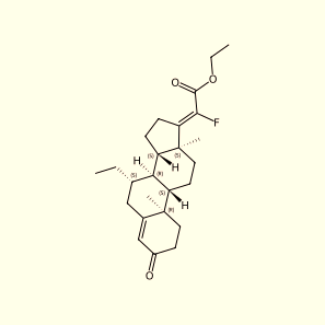 CCOC(=O)C(F)=C1CC[C@H]2[C@@H]3[C@@H](CC)CC4=CC(=O)CC[C@]4(C)[C@H]3CC[C@]12C